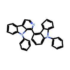 c1ccc(-n2c3ccccc3c3c(-c4nccc5c6ccccc6n(-c6ccccc6)c45)cccc32)cc1